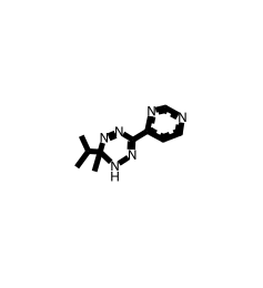 CC(C)C1(C)N=NC(c2ccncn2)=NN1